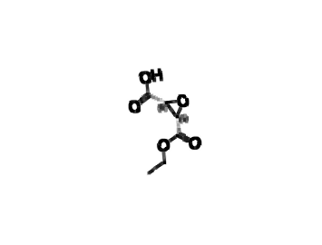 CCOC(=O)[C@H]1O[C@H]1C(=O)O